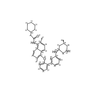 Cc1ccc2c(NC(=O)CC3CCCCC3)c(F)ccc2c1Oc1ncccc1-c1ccnc(N[C@@H]2CNC[C@H](C)C2)n1